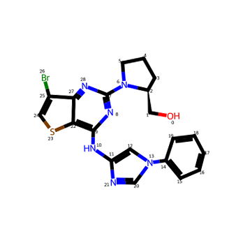 OC[C@@H]1CCCN1c1nc(Nc2cn(-c3ccccc3)cn2)c2scc(Br)c2n1